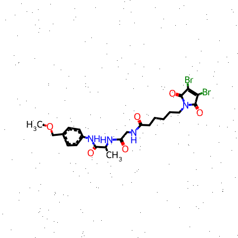 COCc1ccc(NC(=O)C(C)NC(=O)CNC(=O)CCCCCN2C(=O)C(Br)=C(Br)C2=O)cc1